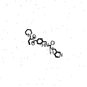 C=CC(N1CCCCC1)S(=O)(=O)c1ccc(CNC(=O)NCc2cccnc2)cc1